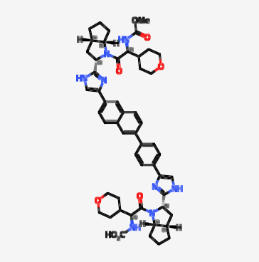 COC(=O)N[C@H](C(=O)N1[C@H](c2nc(-c3ccc4cc(-c5ccc(-c6c[nH]c([C@@H]7C[C@@H]8CCC[C@@H]8N7C(=O)[C@@H](NC(=O)O)C7CCOCC7)n6)cc5)ccc4c3)c[nH]2)C[C@@H]2CCC[C@@H]21)C1CCOCC1